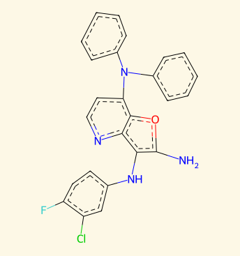 Nc1oc2c(N(c3ccccc3)c3ccccc3)ccnc2c1Nc1ccc(F)c(Cl)c1